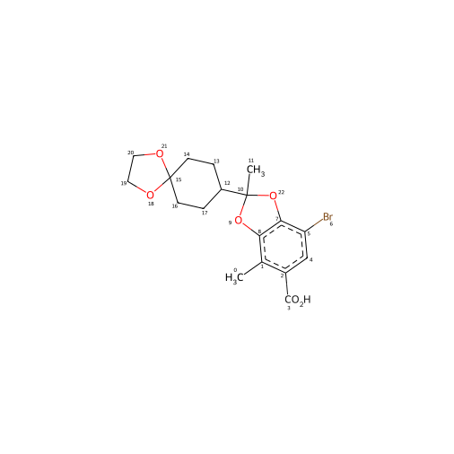 Cc1c(C(=O)O)cc(Br)c2c1OC(C)(C1CCC3(CC1)OCCO3)O2